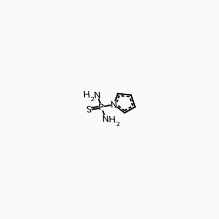 NP(N)(=S)n1cccc1